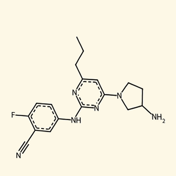 CCCc1cc(N2CCC(N)C2)nc(Nc2ccc(F)c(C#N)c2)n1